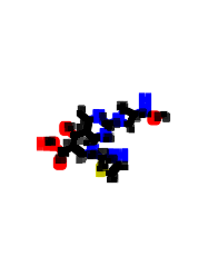 CONC1CN(c2nc(C)c3c(=O)c(C(=O)O)cn([C@H]4NC=CS4)c3n2)C1